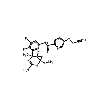 C#CCOc1cnc(C(=O)Nc2cc(F)c(F)c([C@]3(C)N=C(N)S[C@@]4(CN)C[C@H]43)c2)cn1